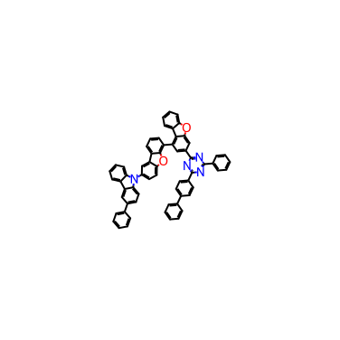 c1ccc(-c2ccc(-c3nc(-c4ccccc4)nc(-c4cc(-c5cccc6c5oc5ccc(-n7c8ccccc8c8cc(-c9ccccc9)ccc87)cc56)c5c(c4)oc4ccccc45)n3)cc2)cc1